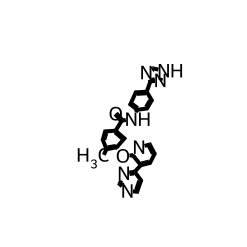 Cc1ccc(C(=O)Nc2ccc(-c3nc[nH]n3)cc2)cc1Oc1ncccc1-c1ccncn1